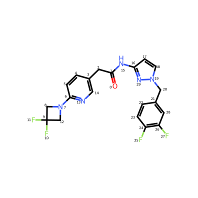 O=C(Cc1ccc(N2CC(F)(F)C2)nc1)Nc1ccn(Cc2ccc(F)c(F)c2)n1